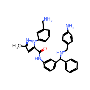 Cc1cc(C(=O)Nc2cccc(C(NCc3ccc(N)cc3)c3ccccc3)c2)n(-c2cccc(CN)c2)n1